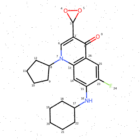 O=c1c(C2OO2)cn(C2CCCC2)c2cc(NC3CCCCC3)c(F)cc12